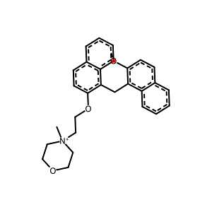 COc1ccc2ccccc2c1Cc1c(OCC[N+]2(C)CCOCC2)ccc2ccccc12